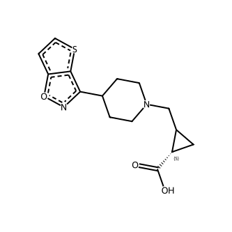 O=C(O)[C@H]1CC1CN1CCC(c2noc3ccsc23)CC1